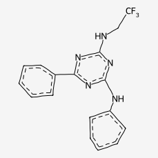 FC(F)(F)CNc1nc(Nc2ccccc2)nc(-c2ccccc2)n1